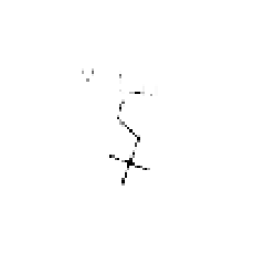 CO[SiH](N)CCC(C)(C)C